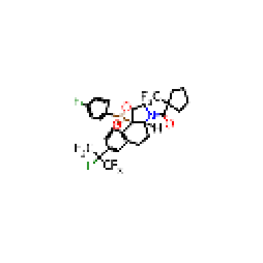 O=C(N1CC[C@@]2(S(=O)(=O)c3ccc(F)cc3)c3ccc(C(F)(C(F)(F)F)C(F)(F)F)cc3CC[C@@H]12)C1(C(F)(F)F)CCCC1